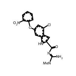 CNC(N)=NC(=O)c1cc2c(Cl)cc(Oc3ccccc3[N+](=O)[O-])cc2[nH]1